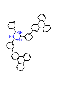 C1=CCC2C(=C1)C1=C(C=CC(C3C=C(C4NC(C5=CCCC(C6=CC7C(CC6)C6=C(C=CCC6)C6CCCCC67)=C5)NC(C5CC=CCC5)N4)CCC3)C1)C1C=CCCC12